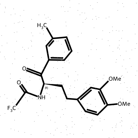 COc1ccc(CC[C@@H](NC(=O)C(F)(F)F)C(=O)c2cccc(C)c2)cc1OC